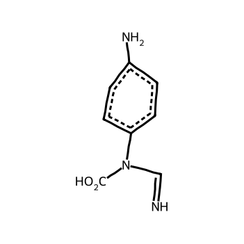 N=CN(C(=O)O)c1ccc(N)cc1